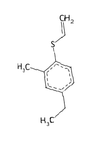 C=CSc1ccc(CC)cc1C